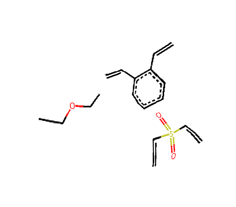 C=CS(=O)(=O)C=C.C=Cc1ccccc1C=C.CCOCC